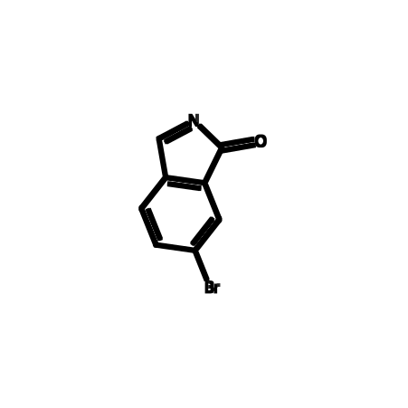 O=C1N=Cc2ccc(Br)cc21